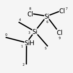 C[SiH](C)[Si](C)(C)[Si](Cl)(Cl)Cl